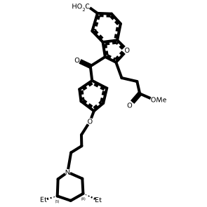 CC[C@@H]1C[C@H](CC)CN(CCCOc2ccc(C(=O)c3c(CCC(=O)OC)oc4ccc(C(=O)O)cc34)cc2)C1